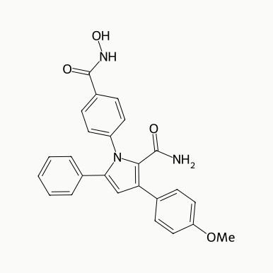 COc1ccc(-c2cc(-c3ccccc3)n(-c3ccc(C(=O)NO)cc3)c2C(N)=O)cc1